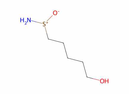 N[S+]([O-])CCCCCO